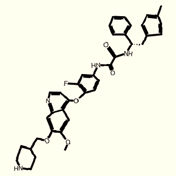 COc1cc2c(Oc3ccc(NC(=O)C(=O)N[C@@H](Cc4ccc(C)cc4)c4ccccc4)cc3F)ccnc2cc1OCC1CCNCC1